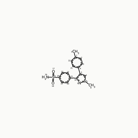 Cc1ccc(-c2cn(C)nc2-c2ccc(S(N)(=O)=O)cc2)cc1